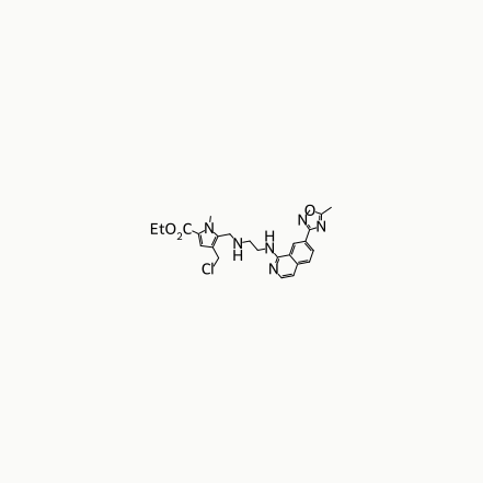 CCOC(=O)c1cc(CCl)c(CNCCNc2nccc3ccc(-c4noc(C)n4)cc23)n1C